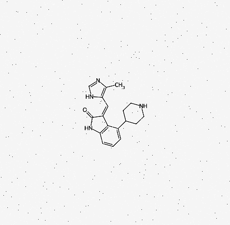 Cc1nc[nH]c1C=C1C(=O)Nc2cccc(C3CCNCC3)c21